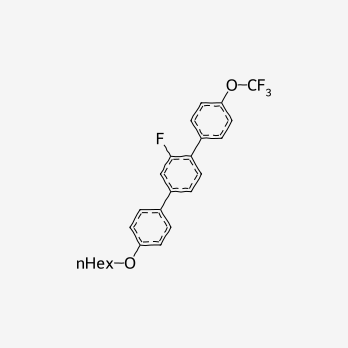 CCCCCCOc1ccc(-c2ccc(-c3ccc(OC(F)(F)F)cc3)c(F)c2)cc1